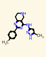 Cc1ccc(-c2nc3c(c(Nc4cc(C)[nH]n4)n2)CNCC3)cc1